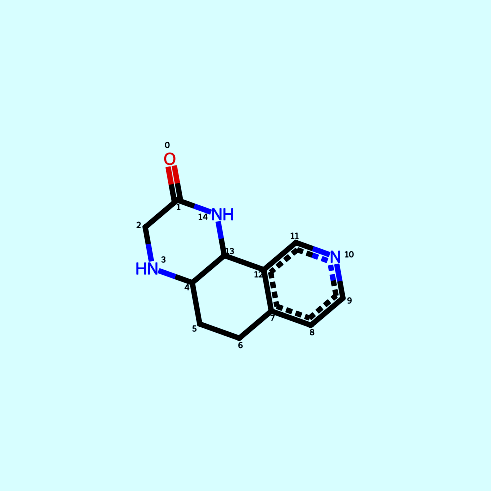 O=C1CNC2CCc3ccncc3C2N1